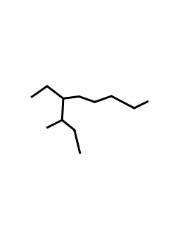 CCCCCC(CC)C(C)CC